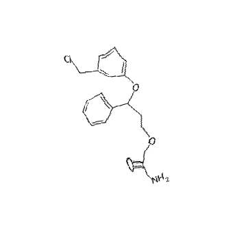 NC(=O)OCCC(Oc1cccc(CCl)c1)c1ccccc1